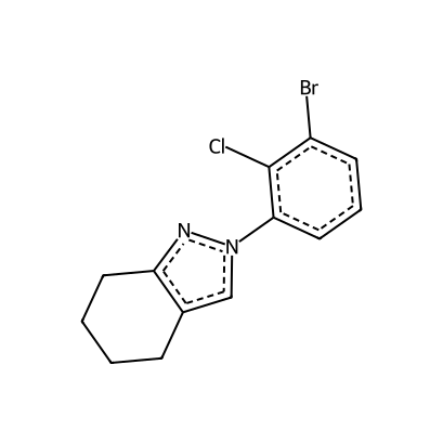 Clc1c(Br)cccc1-n1cc2c(n1)CCCC2